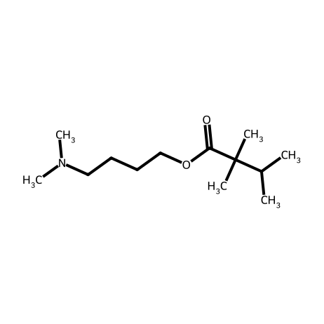 CC(C)C(C)(C)C(=O)OCCCCN(C)C